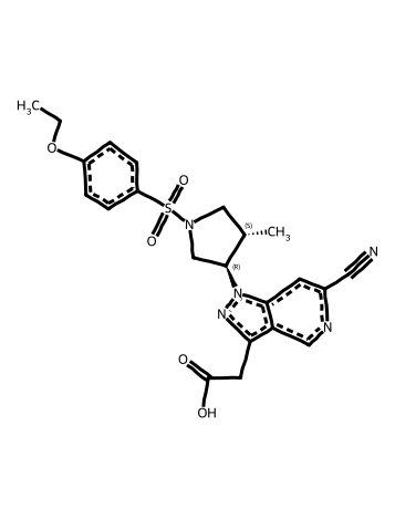 CCOc1ccc(S(=O)(=O)N2C[C@H](C)[C@@H](n3nc(CC(=O)O)c4cnc(C#N)cc43)C2)cc1